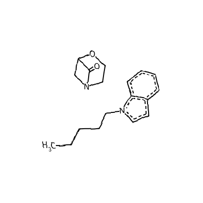 CCCCCn1ccc2ccccc21.O=C1C2CN1CCO2